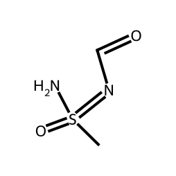 CS(N)(=O)=NC=O